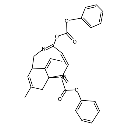 C=C1/C=C\C(OC(=O)Oc2ccccc2)=N/CC2C=C(C)CC1(NC(=O)Oc1ccccc1)/C2=C\C